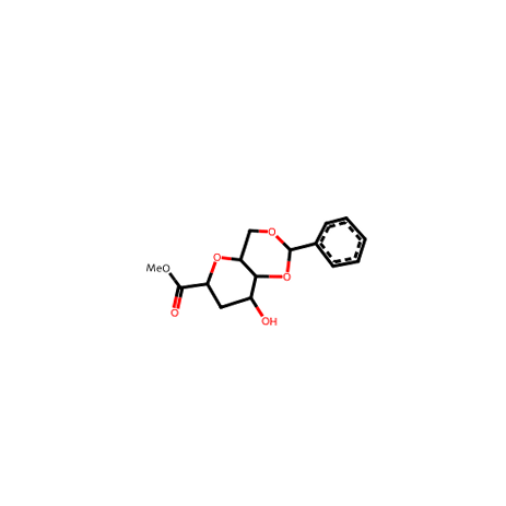 COC(=O)C1CC(O)C2OC(c3ccccc3)OCC2O1